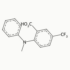 CN(c1ccccc1)c1ccc(C(F)(F)F)cc1C(=O)O